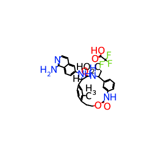 Cc1cc2ccc1CCOC(=O)Nc1cccc(c1)C(CC(=O)O)NC(=O)[C@H]2Nc1ccc2c(N)nccc2c1.O=C(O)C(F)(F)F